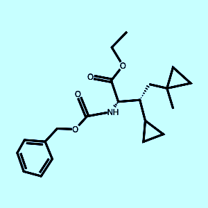 CCOC(=O)[C@@H](NC(=O)OCc1ccccc1)[C@H](CC1(C)CC1)C1CC1